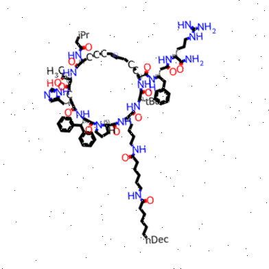 CCCCCCCCCCCCCCCC(=O)NCCCCCC(=O)NCCCC[C@@H]1NC(=O)[C@@H]2CCCN2C(=O)[C@H](C(c2ccccc2)c2ccccc2)NC(=O)[C@H](Cc2cnc[nH]2)CC(=O)[C@H]([C@@H](C)O)NC(=O)[C@@H](NC(=O)CC(C)C)CCC/C=C/CCC[C@@H](C(=O)N[C@H](CC(=O)N[C@H](CCCNC(=N)N)C(N)=O)Cc2ccccc2)NC(=O)[C@H](C(C)(C)C)NC1=O